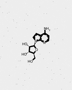 Nc1ccnc2c1ccn2[C@H]1O[C@@H](CO)[C@H](O)[C@@H]1O